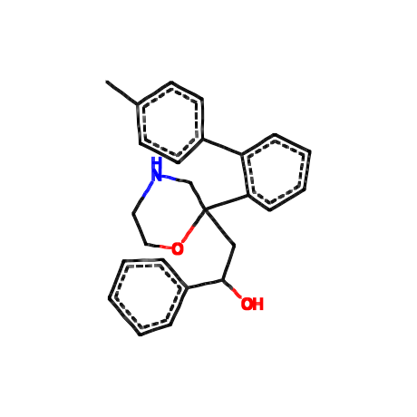 Cc1ccc(-c2ccccc2C2(CC(O)c3ccccc3)CNCCO2)cc1